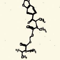 CC(C)[C@H](N)C(=O)OCOC(=O)N(C)C(C)C(=O)c1ccc2c(c1)OCO2